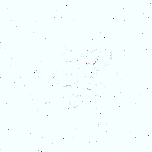 CC(C)(C)c1ccc(N2B3c4ccc5c(sc6ccccc65)c4N(c4ccc(C(C)(C)C)cc4-c4ccccc4)c4cc5c(oc6ccccc65)c(c43)-c3ccccc32)cc1